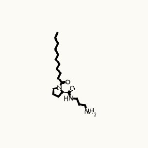 CCCCCCCCCCC(=O)N1CCC[C@@H]1C(=O)NCCCN